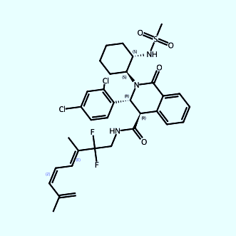 C=C(C)/C=C\C=C(/C)C(F)(F)CNC(=O)[C@@H]1c2ccccc2C(=O)N([C@H]2CCCC[C@@H]2NS(C)(=O)=O)[C@H]1c1ccc(Cl)cc1Cl